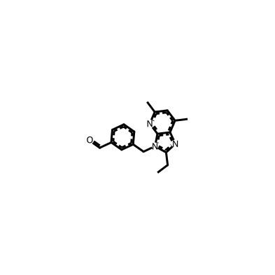 CCc1nc2c(C)cc(C)nc2n1Cc1cccc(C=O)c1